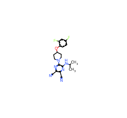 CC(C)Nc1nc(C#N)c(C#N)nc1N1CCC(Oc2ccc(F)cc2F)CC1